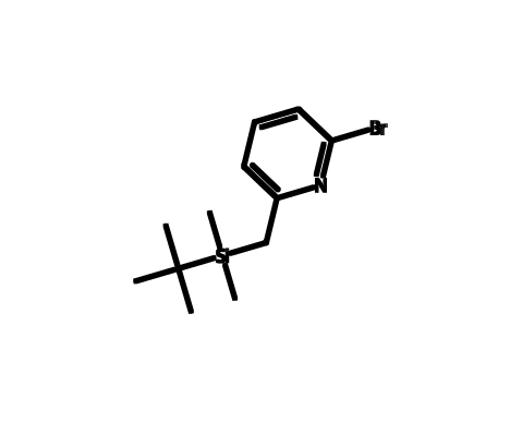 CC(C)(C)[Si](C)(C)Cc1cccc(Br)n1